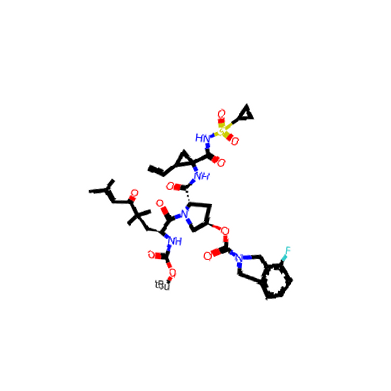 C=CC1CC1(NC(=O)[C@@H]1C[C@@H](OC(=O)N2Cc3cccc(F)c3C2)CN1C(=O)[C@H](CC(C)(C)C(=O)C=C(C)C)NC(=O)OC(C)(C)C)C(=O)NS(=O)(=O)C1CC1